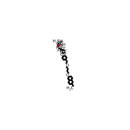 C=Cc1ccc2cc(OCCCCOCCc3ccc(OS(=O)(=O)C(F)(F)C(F)(F)C(F)(F)S(=O)(=O)NS(C)(=O)=O)cc3)ccc2c1